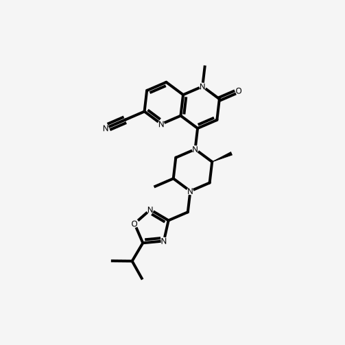 CC(C)c1nc(CN2C[C@H](C)N(c3cc(=O)n(C)c4ccc(C#N)nc34)CC2C)no1